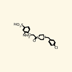 Nc1cc(S(=O)(=O)O)ccc1OCC(=O)N1CCN(Cc2ccc(Cl)cc2)CC1